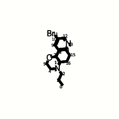 CCCN1CCOC2c3cc(Br)cnc3CCC21